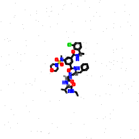 CCNC(=O)[C@@H](NC(=O)[C@H](C)NC[C@H](Cc1ccccc1)NC(=O)c1cc(C(=O)N[C@H](C)c2cccc(Cl)c2)cc(N(C)S(=O)(=O)N2CCOCC2)c1)C(C)C